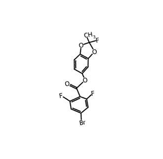 CC1(F)Oc2ccc(OC(=O)c3c(F)cc(Br)cc3F)cc2O1